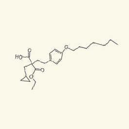 CCCCCCCOc1ccc(CCC(CC2CC2)(C(=O)O)C(=O)OCC)cc1